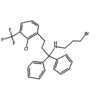 FC(F)(F)c1cccc(CCC(NCCCBr)(c2ccccc2)c2ccccc2)c1Cl